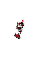 C=C(F)C(=O)N1CCN(c2nc(OC[C@@H]3CC(c4cnc(N5CCc6c(nc(OC[C@@H]7CC(c8cc(N9CCc%10c(nc(OC[C@@H]%11CCCN%11C)nc%10N%10CCN(C(=O)C(=C)F)[C@@H](CC#N)C%10)C9)c9c(Cl)nccc9c8)CN7C)nc6N6CCN(C(=O)C(=C)F)[C@@H](CC#N)C6)C5)c5c(Br)cccc45)CN3C)nc3c2CCN(c2cncc4cccc(Cl)c24)C3)C[C@@H]1CC#N